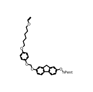 C=COCCCCCCOc1ccc(OCOc2ccc3c(c2)Cc2cc(OCCCCC)ccc2-3)cc1